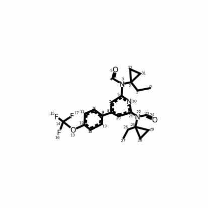 CCC1(N(C=O)c2cc(-c3ccc(OC(F)(F)F)cc3)cc(N(C=O)C3(CC)CC3)n2)CC1